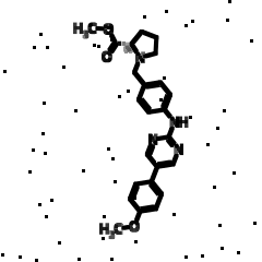 COC(=O)[C@@H]1CCCN1Cc1ccc(Nc2ncc(-c3ccc(OC)cc3)cn2)cc1